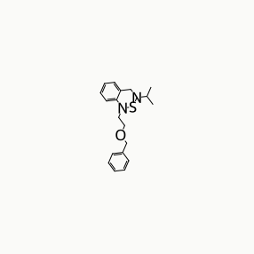 CC(C)N1Cc2ccccc2N(CCOCc2ccccc2)S1